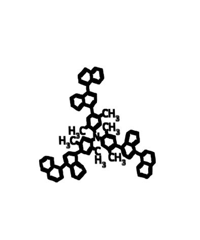 Cc1cc(N(c2cc(C)c(-c3ccc(-c4cccc5ccccc45)c4ccccc34)cc2C)c2cc(C)c(-c3ccc(-c4cccc5ccccc45)c4ccccc34)cc2C)c(C)cc1-c1ccc(-c2cccc3ccccc23)c2ccccc12